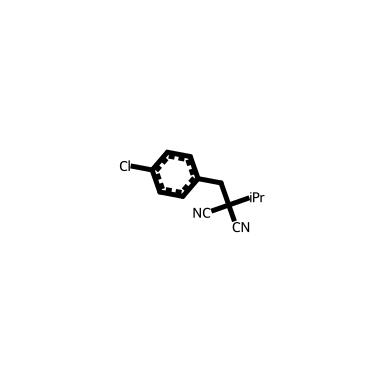 CC(C)C(C#N)(C#N)Cc1ccc(Cl)cc1